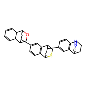 C1=CC2C3CC(c4ccc5c(c4)C4CSC5CC4c4ccc5c(c4)C4CCC5NC4)C(CO3)C2C=C1